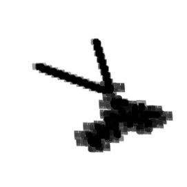 CCCCCCCCCCCCC/C=C/[C@@H](O)[C@H](CO[C@@H]1OC(CO)[C@@H](O[C@@H]2OC(CO)[C@H](O[C@@H]3OC(CO)[C@H](O)[C@H](O[C@@H]4OC(CO)[C@H](O)[C@H](O[C@H]5OC(CO)[C@H](O)[C@H](O)C5O)C4O)C3NC(C)=O)[C@H](O[C@]3(C(=O)O)CC(O)[C@@H](NC(C)=O)C([C@H](O)[C@@H](CO)O[C@]4(C(=O)O)CC(O)[C@@H](NC(C)=O)C([C@H](O)[C@H](O)CO)O4)O3)C2O)[C@H](O)C1O)NC(=O)CCCCCCCCCCCCCCCCCCCCC